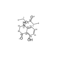 CCOC(=O)CC.O=C1CCNc2cccc(O)c21